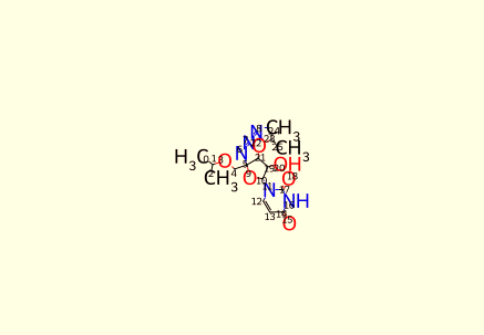 CC(C)OCC1(N=[N+]=[N-])O[C@@H](n2ccc(=O)[nH]c2=O)C(O)C1OC(C)C